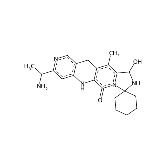 Cc1c2c(c(=O)n3c1C(O)NC31CCCCC1)Nc1cc(C(C)N)ncc1C2